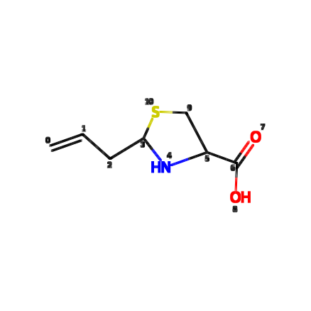 C=CCC1NC(C(=O)O)CS1